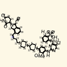 COc1cc(N2CCC(N3CCN(CC/C=C\c4cccc5c4CN(C4CCC(=O)NC4=O)C5=C=O)CC3)CC2)ccc1Nc1ncc(Cl)c(Nc2ccccc2P(C)(C)=O)n1